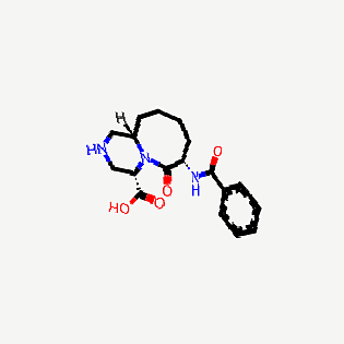 O=C(N[C@H]1CCCC[C@H]2CNC[C@@H](C(=O)O)N2C1=O)c1ccccc1